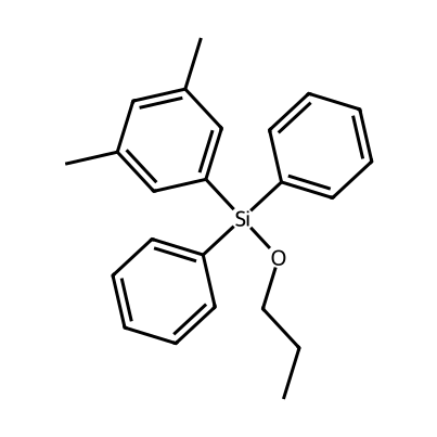 CCCO[Si](c1ccccc1)(c1ccccc1)c1cc(C)cc(C)c1